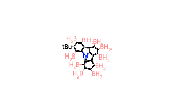 Bc1c(B)c(B)c2c(c1B)c1c(B)c(B)c(B)c3c4c(B)c(B)c(C(C)(C)C)c(B)c4n2c13